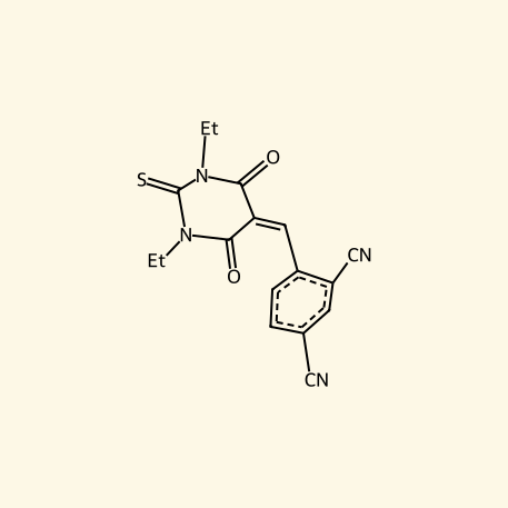 CCN1C(=O)C(=Cc2ccc(C#N)cc2C#N)C(=O)N(CC)C1=S